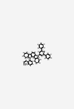 CCC/C=C\c1ccccc1-n1c2c(c3ccc4c(c5c(n4-c4cc(-c6ccccc6)nc(-c6ccccc6)c4)C=CCC5)c31)C=CCC2